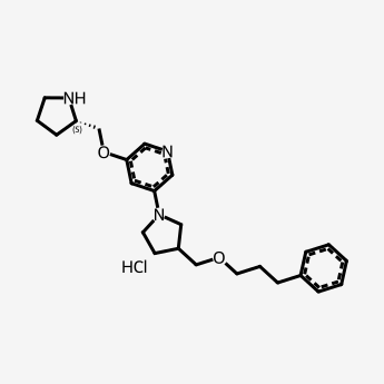 Cl.c1ccc(CCCOCC2CCN(c3cncc(OC[C@@H]4CCCN4)c3)C2)cc1